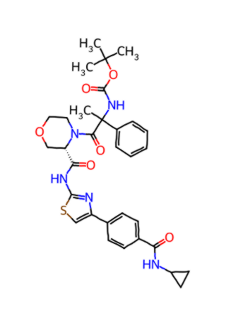 CC(C)(C)OC(=O)NC(C)(C(=O)N1CCOC[C@H]1C(=O)Nc1nc(-c2ccc(C(=O)NC3CC3)cc2)cs1)c1ccccc1